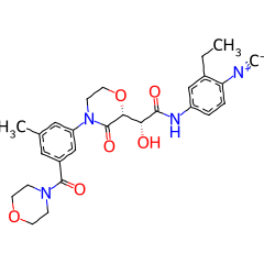 [C-]#[N+]c1ccc(NC(=O)[C@H](O)[C@H]2OCCN(c3cc(C)cc(C(=O)N4CCOCC4)c3)C2=O)cc1CC